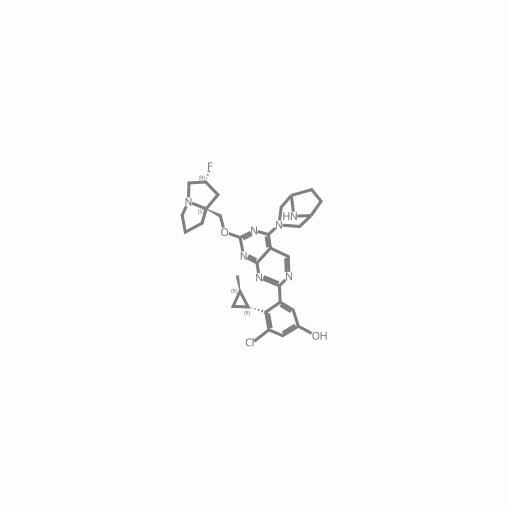 C[C@@H]1C[C@H]1c1c(Cl)cc(O)cc1-c1ncc2c(N3CC4CCC(C3)N4)nc(OC[C@@]34CCCN3C[C@H](F)C4)nc2n1